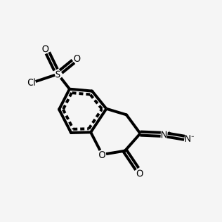 [N-]=[N+]=C1Cc2cc(S(=O)(=O)Cl)ccc2OC1=O